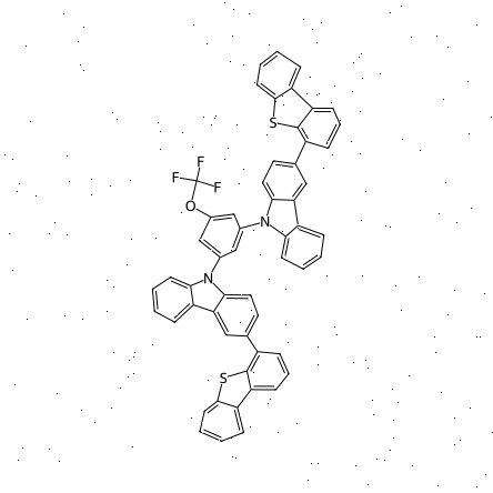 FC(F)(F)Oc1cc(-n2c3ccccc3c3cc(-c4cccc5c4sc4ccccc45)ccc32)cc(-n2c3ccccc3c3cc(-c4cccc5c4sc4ccccc45)ccc32)c1